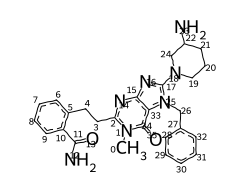 Cn1c(CCc2ccccc2C(N)=O)nc2nc(N3CCCC(N)C3)n(Cc3ccccc3)c2c1=O